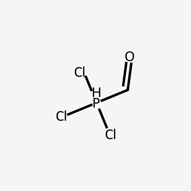 O=C[PH](Cl)(Cl)Cl